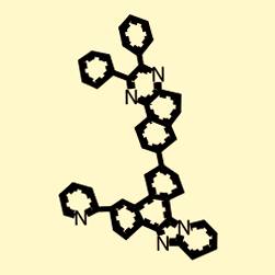 c1ccc(-c2nc3ccc4cc(-c5ccc6c(c5)c5cc(-c7ccccn7)ccc5c5nc7ccccn7c65)ccc4c3nc2-c2ccccc2)cc1